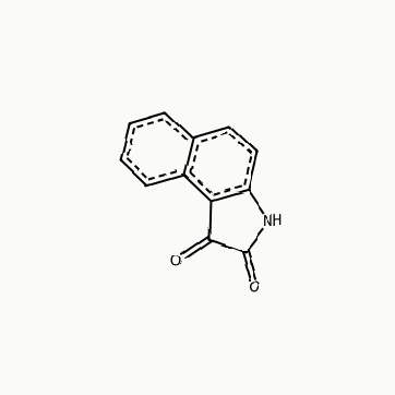 O=C1Nc2ccc3ccccc3c2C1=O